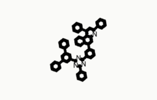 c1ccc(-c2cc(-c3ccccc3)cc(-c3nc(-c4ccccc4)nc(-c4cccc(-c5cc6nc(-c7ccccc7)cc(-c7ccccc7)c6c6ccccc56)c4)n3)c2)cc1